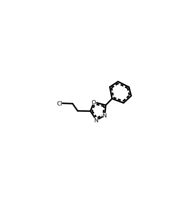 ClCCc1nnc(-c2ccccc2)o1